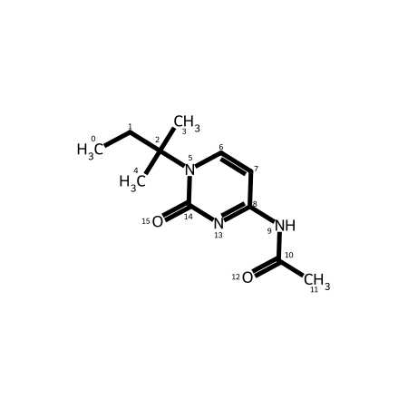 CCC(C)(C)n1ccc(NC(C)=O)nc1=O